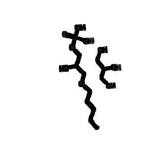 CCCCCOCC(O)COP(=O)(O)O.OCC(O)CO